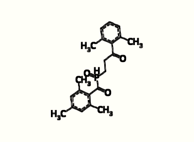 Cc1cc(C)c(C(=O)[PH](=O)CCC(=O)c2c(C)cccc2C)c(C)c1